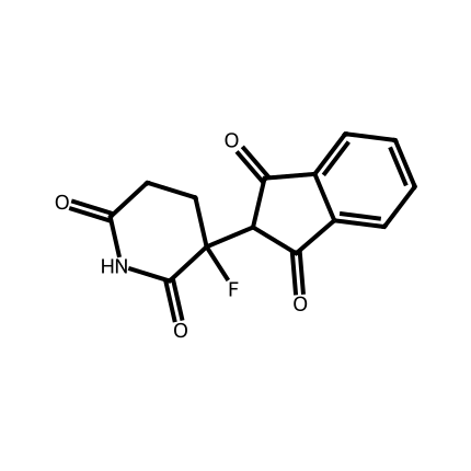 O=C1CCC(F)(C2C(=O)c3ccccc3C2=O)C(=O)N1